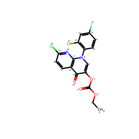 CCOC(=O)Oc1cn(-c2ccc(F)cc2Cl)c2nc(Cl)ccc2c1=O